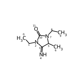 CCN1C(=N)C(C)N(CC)C1=O